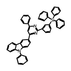 c1ccc(-c2cc(-c3ccc4c(c3)c3ccccc3n4-c3ccccc3)nc(-c3cccc([Si](c4ccccc4)(c4ccccc4)c4ccccc4)c3)n2)cc1